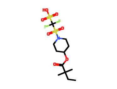 CCC(C)(C)C(=O)OC1CCN(S(=O)(=O)C(F)(F)S(=O)(=O)O)CC1